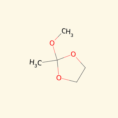 COC1(C)OCCO1